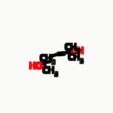 CC(C)(O)C#CCCC(C)(C)O